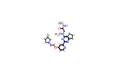 CN(CC(=O)NC(C)(C)C)c1nc(-c2cc(OCCN3CCC(F)C3)ccn2)nc2c1CCC2